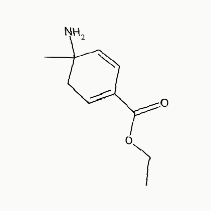 CCOC(=O)C1=CCC(C)(N)C=C1